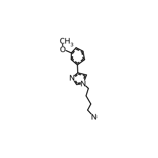 COc1cccc(-c2cn(CCCC[N])cn2)c1